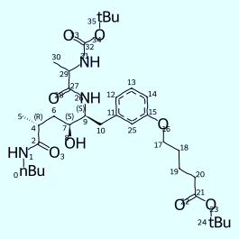 CCCCNC(=O)[C@H](C)C[C@H](O)[C@H](Cc1cccc(OCCCCC(=O)OC(C)(C)C)c1)NC(=O)C(C)NC(=O)OC(C)(C)C